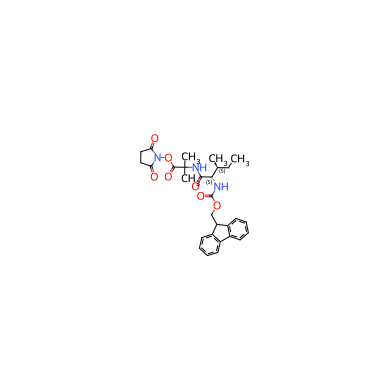 CC[C@H](C)[C@H](NC(=O)OCC1c2ccccc2-c2ccccc21)C(=O)NC(C)(C)C(=O)ON1C(=O)CCC1=O